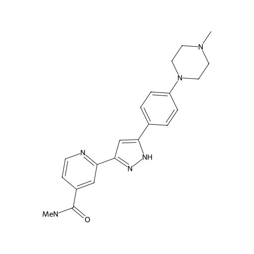 CNC(=O)c1ccnc(-c2cc(-c3ccc(N4CCN(C)CC4)cc3)[nH]n2)c1